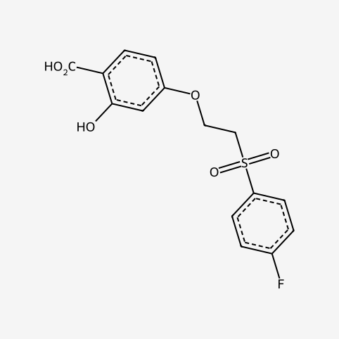 O=C(O)c1ccc(OCCS(=O)(=O)c2ccc(F)cc2)cc1O